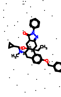 CC[C@]12CC3=NN(c4ccccc4)C(=O)C3C[C@@]1(O)[C@H](N(C)CC1CC1)Cc1ccc(OCc3ccccc3)cc12